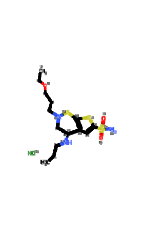 CCCN[C@H]1CN(CCCOCC)Sc2sc(S(N)(=O)=O)cc21.Cl